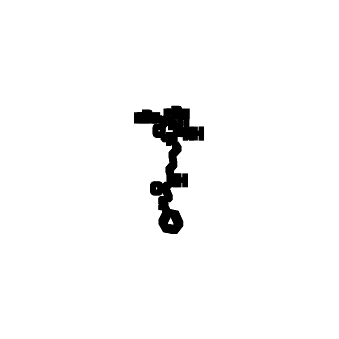 CCCCC1(CCCC)NC(=N)N(CCCCNC(=O)CSc2ccccc2)CO1